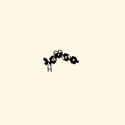 C=CC(=C)NC1CCN(C(=O)CC(=O)N2CCN(c3ccc(C)cc3)CC2)CC1